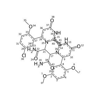 COc1ccc(OC)c(-c2cc(=O)[nH]c(=S)n2C(C(N)=O)C(C(N)=O)n2c(-c3cc(Cl)ccc3OC)cc(=O)[nH]c2=S)c1